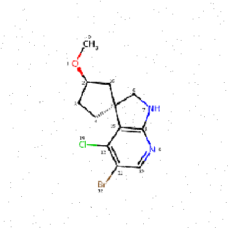 CO[C@@H]1CC[C@@]2(CNc3ncc(Br)c(Cl)c32)C1